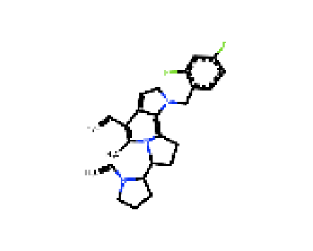 C=CC1=C(C)N2C(=C3C1=CCN3Cc1ccc(F)cc1F)CCC2C1CCCN1C=C